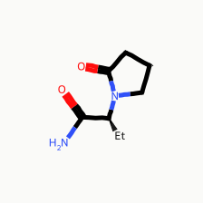 CC[C@@H](C(N)=O)N1C[CH]CC1=O